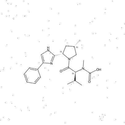 CC(C)[C@@H](C(=O)N1C[C@@H](C)C[C@H]1c1nc(-c2ccccc2)c[nH]1)N(C)C(=O)O